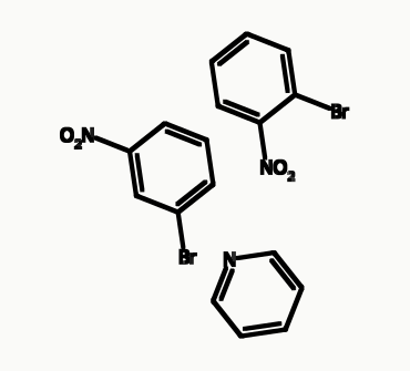 O=[N+]([O-])c1cccc(Br)c1.O=[N+]([O-])c1ccccc1Br.c1ccncc1